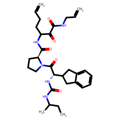 C=CCCC(NC(=O)[C@@H]1CCCN1C(=O)[C@@H](NC(=O)NC(C)CC)C1Cc2ccccc2C1)C(=O)C(=O)NCC=C